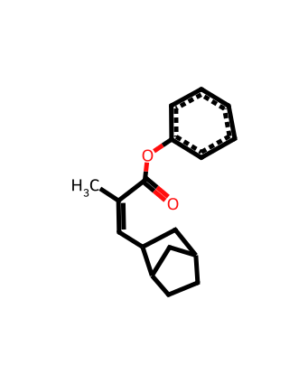 CC(=CC1CC2CCC1C2)C(=O)Oc1ccccc1